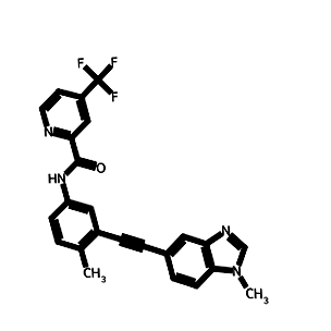 Cc1ccc(NC(=O)c2cc(C(F)(F)F)ccn2)cc1C#Cc1ccc2c(c1)ncn2C